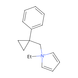 CC[N+]1(CC2(c3ccccc3)CC2)C=CC=C1